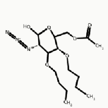 CCCCOC1[C@H](N=[N+]=[N-])C(O)OC(COC(C)=O)[C@H]1OCCCC